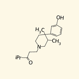 CC(C)C(=O)CCN1CCC(C)(c2cccc(O)c2)C(C)C1